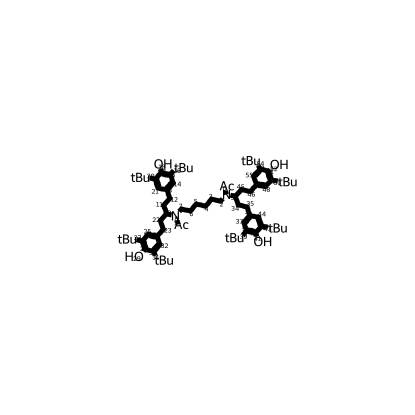 CC(=O)N(CCCCCCN(C(C)=O)C(CCc1cc(C(C)(C)C)c(O)c(C(C)(C)C)c1)CCc1cc(C(C)(C)C)c(O)c(C(C)(C)C)c1)C(CCc1cc(C(C)(C)C)c(O)c(C(C)(C)C)c1)CCc1cc(C(C)(C)C)c(O)c(C(C)(C)C)c1